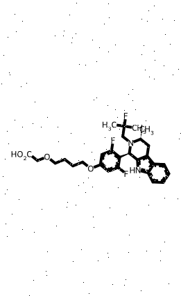 C[C@@H]1Cc2c([nH]c3ccccc23)[C@@H](c2c(F)cc(OCCCCOCC(=O)O)cc2F)N1CC(C)(C)F